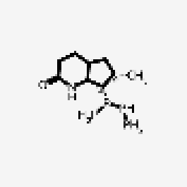 C[C@H]1CC2CCC(=O)NC2[C@H]1P(P)PP